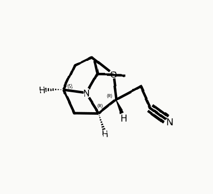 CC(C)N1[C@@H]2CCO[C@H](CC#N)[C@H]1C2